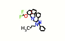 CCCCn1c(-c2ccccc2)nc(-c2ccccc2)c1CN(Cc1ccccc1)Cc1ccccc1OC(F)F